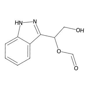 O=COC(CO)c1n[nH]c2ccccc12